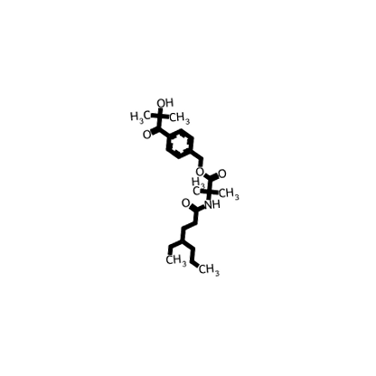 CCCC(CC)CCC(=O)NC(C)(C)C(=O)OCc1ccc(C(=O)C(C)(C)O)cc1